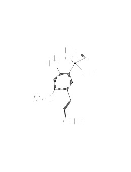 C=CC(C)(C)c1cc(C=C[C]=O)c(OC)cc1O